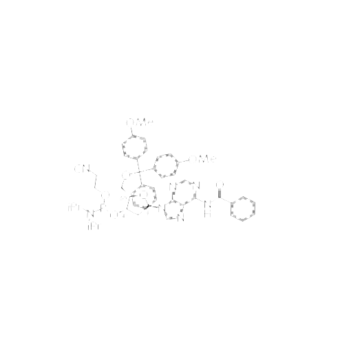 [C-]#[N+]CCOP(O[C@@H]1C[C@H](n2cnc3c(NC(=O)c4ccccc4)ncnc32)O[C@@H]1COC(c1ccccc1)(c1ccc(OC)cc1)c1ccc(OC)cc1)N(C(C)C)C(C)C